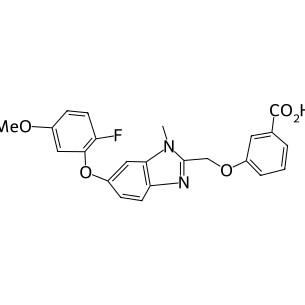 COc1ccc(F)c(Oc2ccc3nc(COc4cccc(C(=O)O)c4)n(C)c3c2)c1